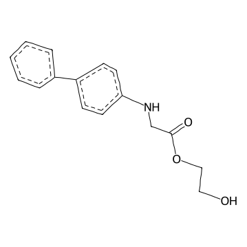 O=C(CNc1ccc(-c2ccccc2)cc1)OCCO